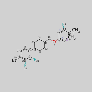 C=C(C)/C(F)=C\C(=C/I)OCC1CCC(c2ccc(CC)c(F)c2F)CC1